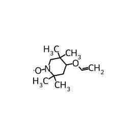 C=COC1CC(C)(C)N([O])CC1(C)C